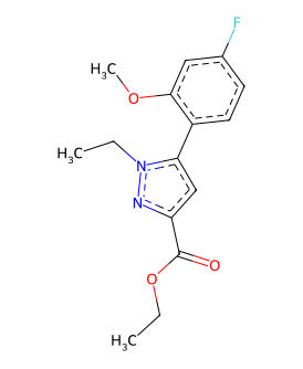 CCOC(=O)c1cc(-c2ccc(F)cc2OC)n(CC)n1